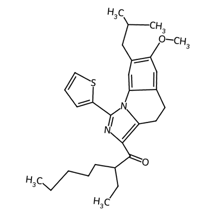 CCCCCC(CC)C(=O)c1nc(-c2cccs2)n2c1CCc1cc(OC)c(CC(C)C)cc1-2